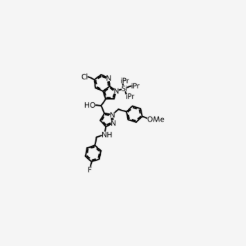 COc1ccc(Cn2nc(NCc3ccc(F)cc3)cc2C(O)c2cn([Si](C(C)C)(C(C)C)C(C)C)c3ncc(Cl)cc23)cc1